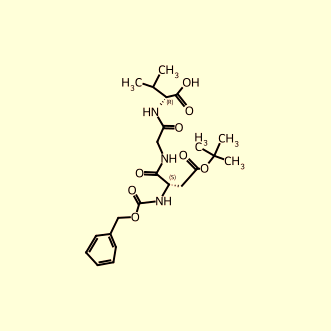 CC(C)[C@@H](NC(=O)CNC(=O)[C@H](CC(=O)OC(C)(C)C)NC(=O)OCc1ccccc1)C(=O)O